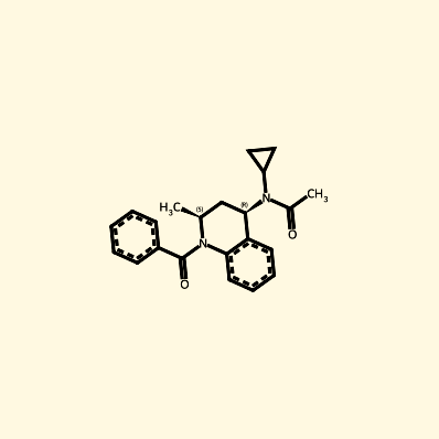 CC(=O)N(C1CC1)[C@@H]1C[C@H](C)N(C(=O)c2ccccc2)c2ccccc21